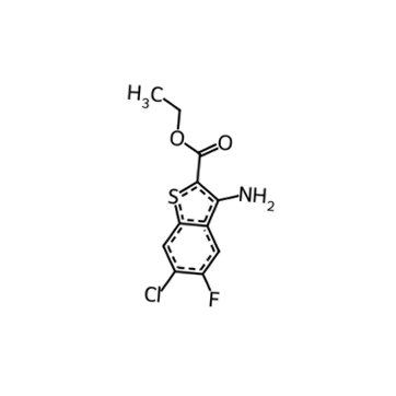 CCOC(=O)c1sc2cc(Cl)c(F)cc2c1N